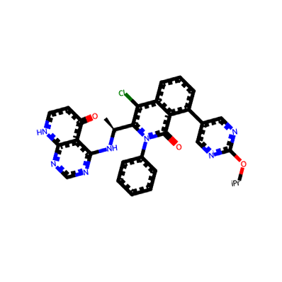 CC(C)Oc1ncc(-c2cccc3c(Cl)c([C@H](C)Nc4ncnc5[nH]ccc(=O)c45)n(-c4ccccc4)c(=O)c23)cn1